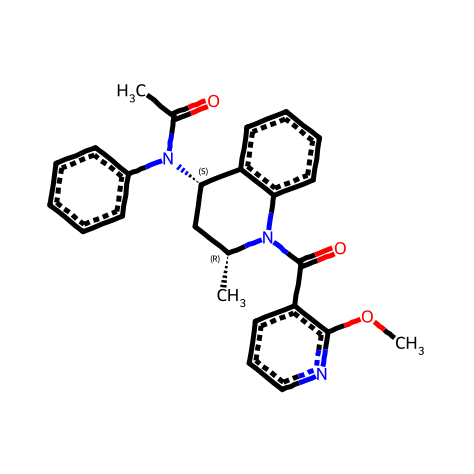 COc1ncccc1C(=O)N1c2ccccc2[C@@H](N(C(C)=O)c2ccccc2)C[C@H]1C